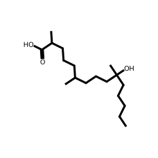 CCCCCC(C)(O)CCCC(C)CCCC(C)C(=O)O